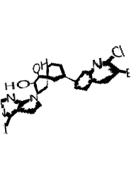 O[C@H]1[C@H](n2ccc3c(Cl)ncnc32)C[C@@]2(CC[C@@H](c3ccc4cc(Br)c(Cl)nc4c3)C2)[C@H]1O